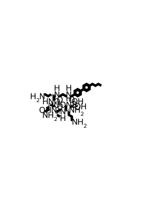 CCCCc1ccc(-c2ccc(C(=O)NCCC(=O)N[C@@H](CCCN)C(=O)N[C@@H](CCC(N)=O)C(=O)N[C@@H](CC)C(=O)N[C@@H](CCCCN)C(=O)N[C@@H](N)B(O)O)cc2)cc1